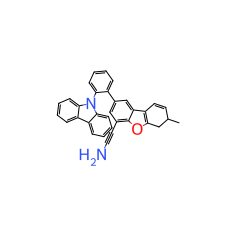 CC1C=Cc2c(oc3c(C#CN)cc(-c4ccccc4-n4c5ccccc5c5ccccc54)cc23)C1